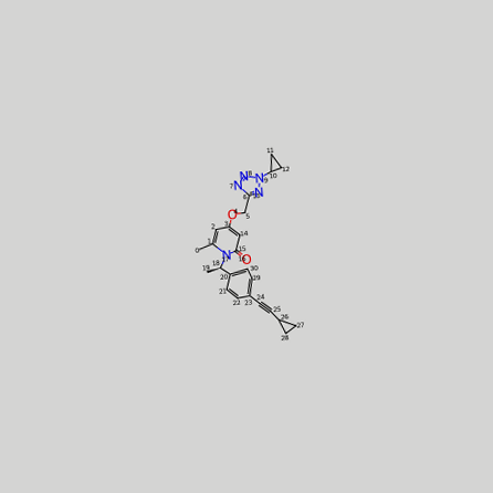 Cc1cc(OCc2nnn(C3CC3)n2)cc(=O)n1[C@H](C)c1ccc(C#CC2CC2)cc1